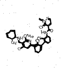 COc1nc(-c2cccc(-c3cccc(NC(=O)c4ccnn(C)c4=O)c3Cl)c2Cl)cc(Cl)c1CN[C@@H]1CCCC[C@@H]1O